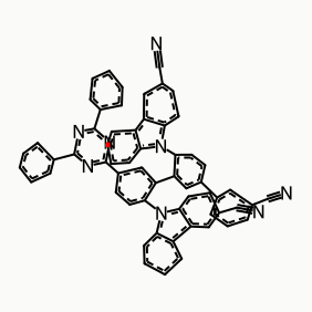 N#Cc1cccc(-c2ccc(-n3c4ccccc4c4cc(C#N)ccc43)c(-c3cc(-c4nc(-c5ccccc5)nc(-c5ccccc5)n4)ccc3-n3c4ccccc4c4cc(C#N)ccc43)c2)c1